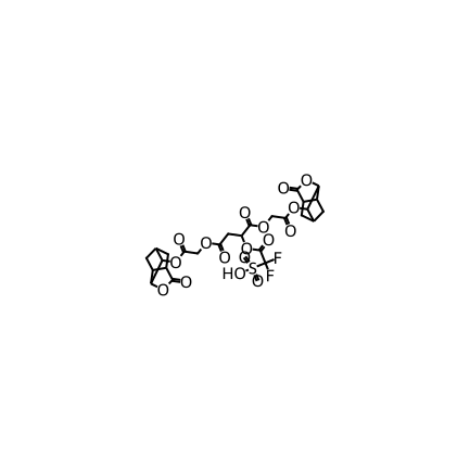 O=C(CC(OC(=O)C(F)(F)S(=O)(=O)O)C(=O)OCC(=O)OC1C2CC3C(=O)OC1C3C2)OCC(=O)OC1C2CC3C(=O)OC1C3C2